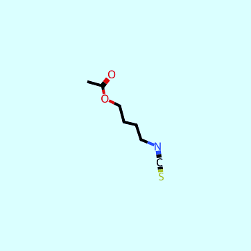 CC(=O)OCCCCN=C=S